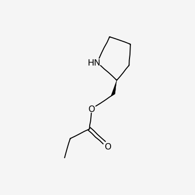 CCC(=O)OC[C@@H]1CCCN1